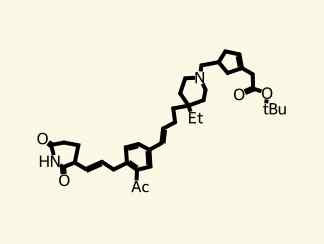 CCC1(CC/C=C/c2ccc(C/C=C/C3CCC(=O)NC3=O)c(C(C)=O)c2)CCN(CC2CC=C(CC(=O)OC(C)(C)C)C2)CC1